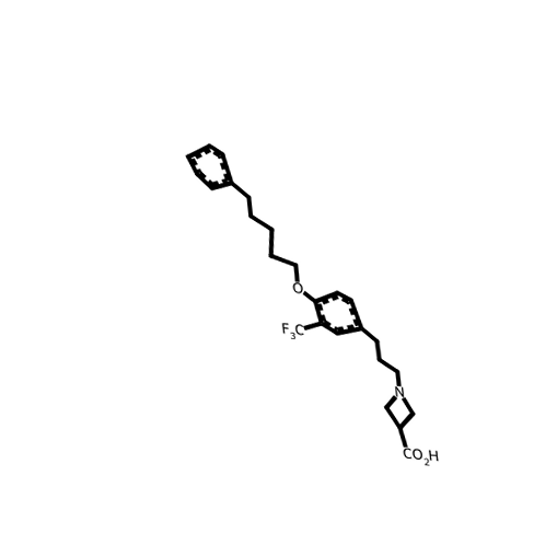 O=C(O)C1CN(CCCc2ccc(OCCCCCc3ccccc3)c(C(F)(F)F)c2)C1